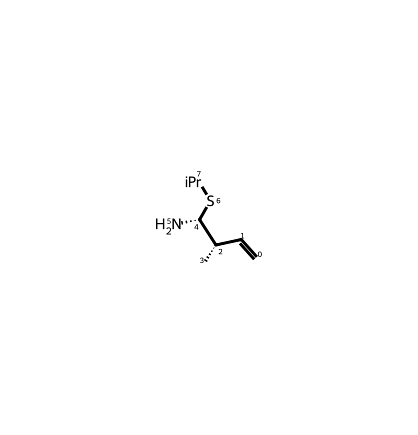 C=C[C@H](C)[C@H](N)SC(C)C